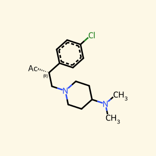 CC(=O)[C@@H](CN1CCC(N(C)C)CC1)c1ccc(Cl)cc1